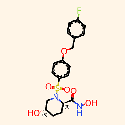 O=C(NO)[C@H]1CC[C@H](O)CN1S(=O)(=O)c1ccc(OCc2ccc(F)cc2)cc1